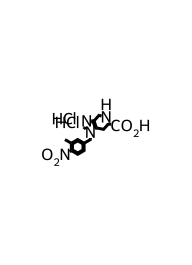 Cc1cc(Cn2cnc3c2CC(C(=O)O)NC3)ccc1[N+](=O)[O-].Cl.Cl